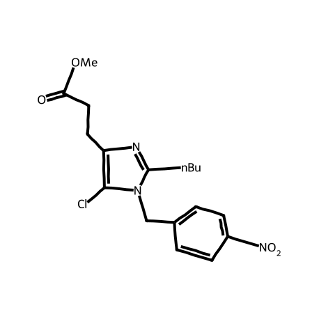 CCCCc1nc(CCC(=O)OC)c(Cl)n1Cc1ccc([N+](=O)[O-])cc1